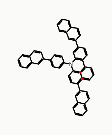 c1ccc(-c2ccc(-c3ccc4ccccc4c3)cc2N(c2ccc(-c3ccc4ccccc4c3)cc2)c2ccc(-c3ccc4ccccc4c3)cc2)cc1